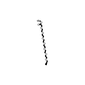 C#CCOCCOCCOCCOCCOCCOCCOCC(=O)OC(C)(C)C